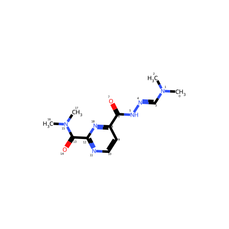 CN(C)C=NNC(=O)c1ccnc(C(=O)N(C)C)n1